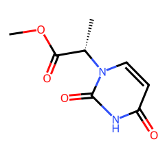 COC(=O)[C@H](C)n1ccc(=O)[nH]c1=O